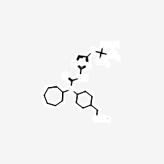 COCC1CCC(N(C(=O)Nc2ncc(SC(C)(C)C(=O)O)s2)C2CCCCCC2)CC1